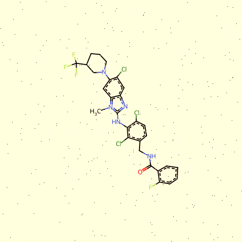 Cn1c(Nc2c(Cl)ccc(CNC(=O)c3ccccc3F)c2Cl)nc2cc(Cl)c(N3CCCC(C(F)(F)F)C3)cc21